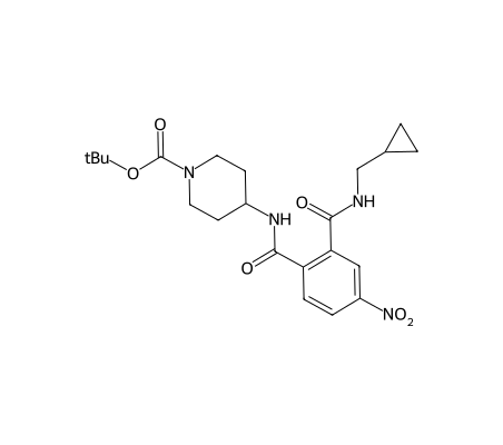 CC(C)(C)OC(=O)N1CCC(NC(=O)c2ccc([N+](=O)[O-])cc2C(=O)NCC2CC2)CC1